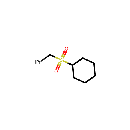 C[C](C)CS(=O)(=O)C1CCCCC1